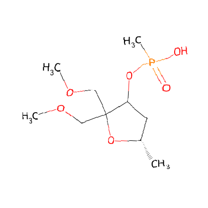 COCC1(COC)O[C@@H](C)CC1OP(C)(=O)O